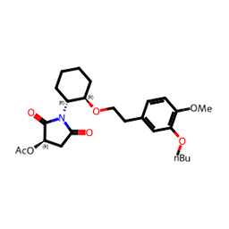 CCCCOc1cc(CCO[C@@H]2CCCC[C@H]2N2C(=O)C[C@@H](OC(C)=O)C2=O)ccc1OC